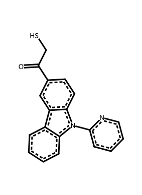 O=C(CS)c1ccc2c(c1)c1ccccc1n2-c1ccccn1